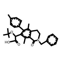 Cc1ccc(-c2c(C)c3c(c(C)c2C(OC(C)(C)C)C(=O)O)C(=O)N(Cc2ccccc2)CC3)cc1